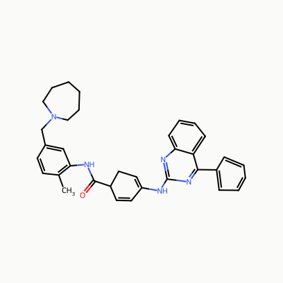 Cc1ccc(CN2CCCCCC2)cc1NC(=O)C1C=CC(Nc2nc(-c3ccccc3)c3ccccc3n2)=CC1